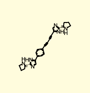 C(C#Cc1cnc([C@@H]2CCCN2)[nH]1)#Cc1ccc(-c2cnc([C@@H]3CCCN3)[nH]2)cc1